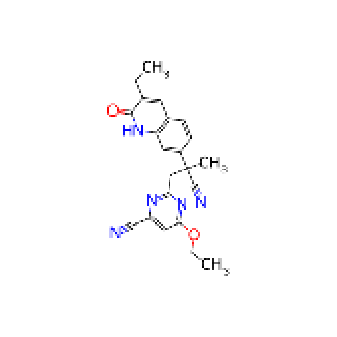 CCOc1cc(C#N)nc(CC(C)(C#N)c2ccc3cc(CC)c(=O)[nH]c3c2)n1